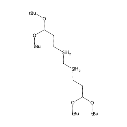 CC(C)(C)OC(CC[SiH2]C[SiH2]CCC(OC(C)(C)C)OC(C)(C)C)OC(C)(C)C